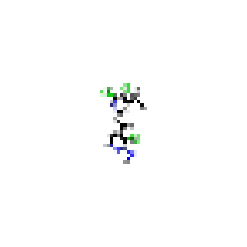 CNc1nccc(C(C)Cc2cc(C(C)C)c(Cl)c(Cl)n2)c1Cl